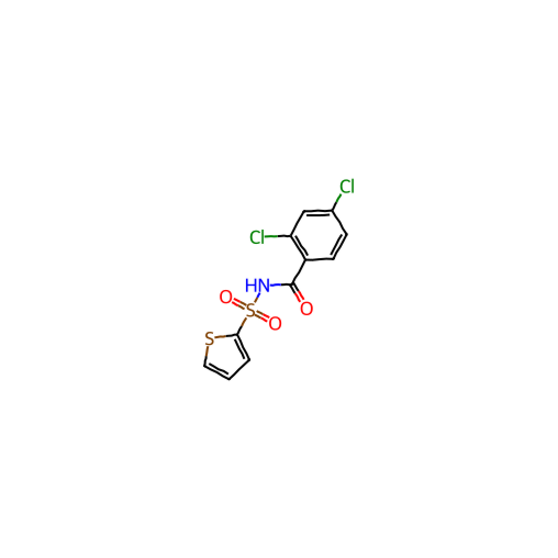 O=C(NS(=O)(=O)c1cccs1)c1ccc(Cl)cc1Cl